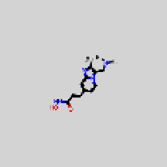 CCN(CC)Cc1c(C(C)(C)C)nc2cc(C=CC(=O)NO)ccn12